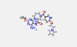 CCCCOc1nc(N)c2c(n1)N1CCCN(C(=O)c3ccc(OCCN4CCCC4)nc3)CC1C(=O)N2